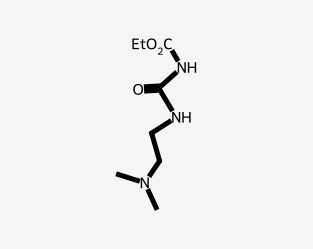 CCOC(=O)NC(=O)NCCN(C)C